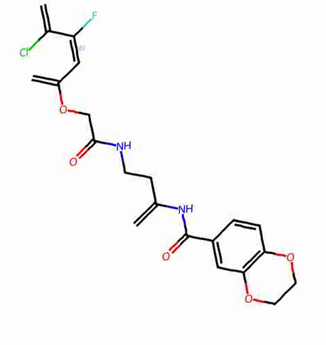 C=C(CCNC(=O)COC(=C)/C=C(/F)C(=C)Cl)NC(=O)c1ccc2c(c1)OCCO2